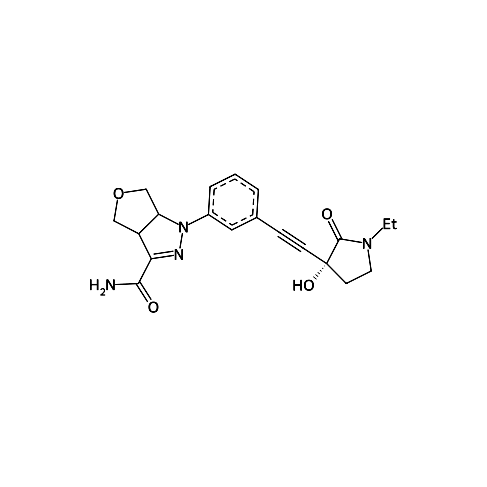 CCN1CC[C@@](O)(C#Cc2cccc(N3N=C(C(N)=O)C4COCC43)c2)C1=O